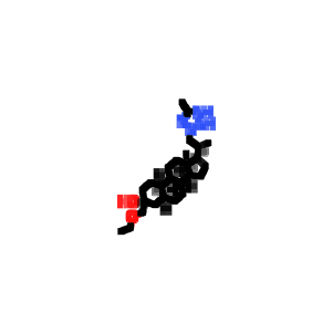 CCOC[C@@]1(O)CC[C@H]2[C@@H](CC[C@@H]3[C@@H]2CC[C@]2(C)[C@@H]([C@H](C)CN4N=C(C)NN4)CC[C@@H]32)C1